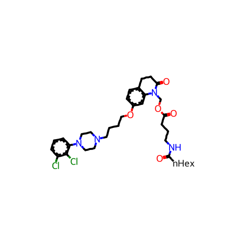 CCCCCCC(=O)NCCCC(=O)OCN1C(=O)CCc2ccc(OCCCCN3CCN(c4cccc(Cl)c4Cl)CC3)cc21